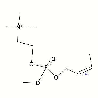 C/C=C\COP(=O)(OC)OCC[N+](C)(C)C